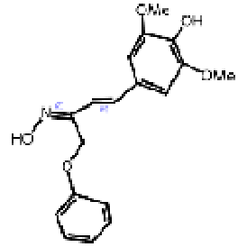 COc1cc(/C=C/C(COc2ccccc2)=N/O)cc(OC)c1O